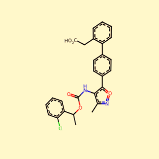 Cc1noc(-c2ccc(-c3ccccc3CC(=O)O)cc2)c1NC(=O)OC(C)c1ccccc1Cl